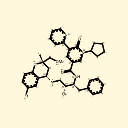 CCc1ccc2c(c1)[C@@H](NC[C@@H](O)[C@H](Cc1ccccc1)NC(=O)c1cc(-c3ccccn3)c(=O)n(C3CCCC3)c1)C[C@@](C)(COC)O2